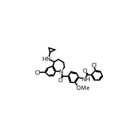 COc1cc(C(=O)N2CCCC(NC3CC3)c3cc(Cl)ccc32)ccc1NC(=O)c1ccccc1Cl